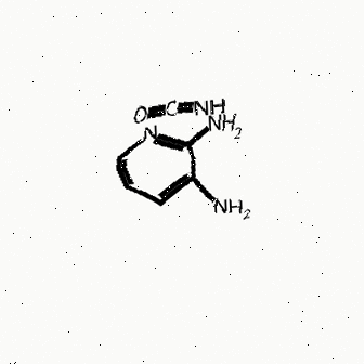 N=C=O.Nc1cccnc1N